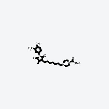 COC(=O)N1CCN(CCCCCCCC2=C(C)C(=O)N(c3ccc(C#N)c(C(F)(F)F)c3)C2=O)CC1